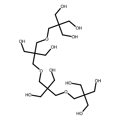 OCC(CO)(CO)COCC(CO)(CO)COCC(CO)(CO)COCC(CO)(CO)CO